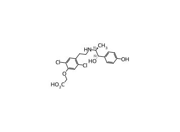 C[C@H](NCCc1cc(Cl)c(OCC(=O)O)cc1Cl)[C@@H](O)c1ccc(O)cc1